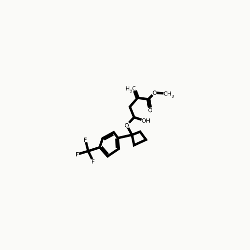 C=C(CC(O)OC1(c2ccc(C(F)(F)F)cc2)CCC1)C(=O)OC